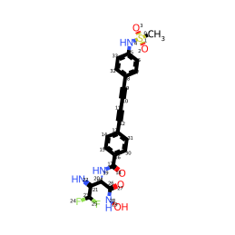 CS(=O)(=O)Nc1ccc(C#CC#Cc2ccc(C(=O)N[C@@H](C(=N)C(F)F)C(=O)NO)cc2)cc1